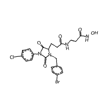 O=C(CCNC(=O)CCC1C(=O)N(c2ccc(Cl)cc2)C(=O)N1Cc1ccc(Br)cc1)NO